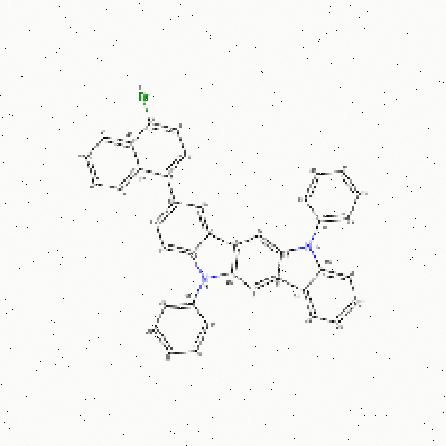 Brc1ccc(-c2ccc3c(c2)c2cc4c(cc2n3-c2ccccc2)c2ccccc2n4-c2ccccc2)c2ccccc12